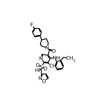 CCc1ccccc1Nc1c(C(=O)N2CCC(c3ccc(F)cc3)CC2)cnc(S(=O)(=O)Nc2ccon2)c1C